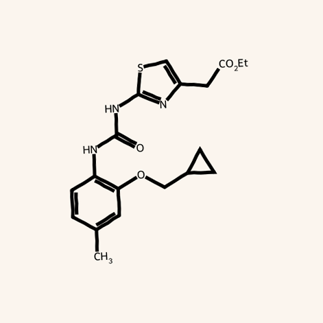 CCOC(=O)Cc1csc(NC(=O)Nc2ccc(C)cc2OCC2CC2)n1